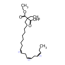 CC/C=C\C/C=C\C/C=C\CCCCCCCCC(CC)(C(=O)O)C(=O)OCC